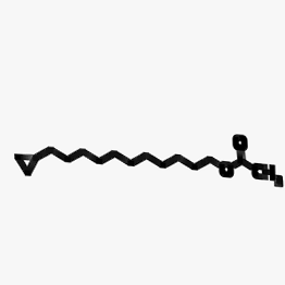 CC(=O)OCCCCCCCCCCCC1CC1